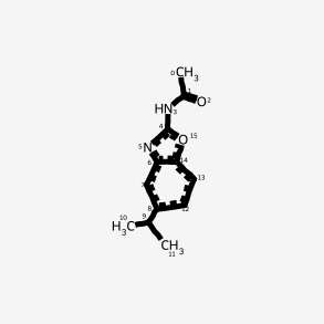 CC(=O)Nc1nc2cc(C(C)C)ccc2o1